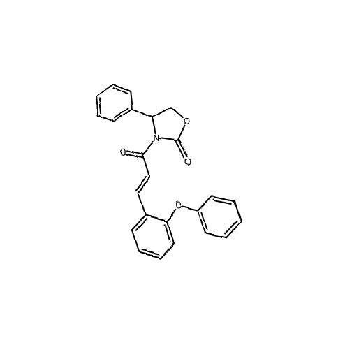 O=C(/C=C/c1ccccc1Oc1ccccc1)N1C(=O)OCC1c1ccccc1